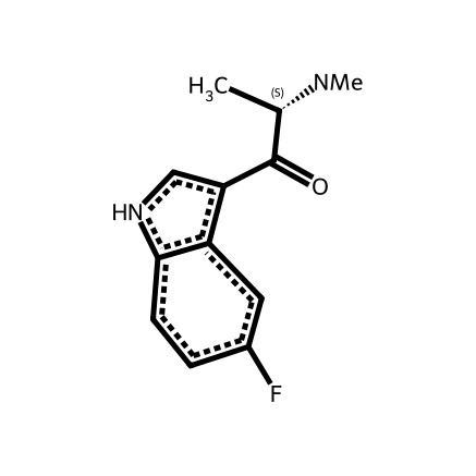 CN[C@@H](C)C(=O)c1c[nH]c2ccc(F)cc12